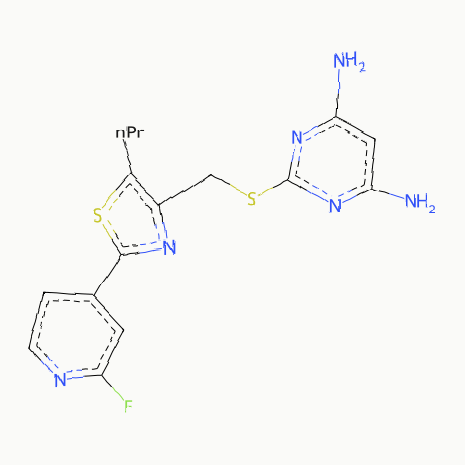 CCCc1sc(-c2ccnc(F)c2)nc1CSc1nc(N)cc(N)n1